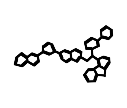 c1ccc(-c2cccc(C(Cc3ccc4cc(-c5cccc(-c6ccc7ccccc7c6)c5)ccc4c3)c3cccc4sc5ccccc5c34)c2)cc1